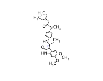 CC/C(Nc1ccc(N(C)C(=O)CN(CC)CC)cc1)=C1/C(=O)Nc2cc(OC)c(OC)cc21